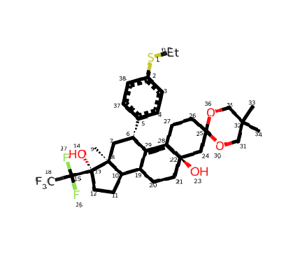 CCSc1ccc([C@H]2C[C@@]3(C)C(CC[C@@]3(O)C(F)(F)C(F)(F)F)C3CC[C@@]4(O)CC5(CCC4=C32)OCC(C)(C)CO5)cc1